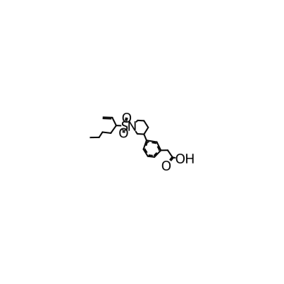 C=CC(CCCC)S(=O)(=O)N1CCCC(c2cccc(CC(=O)O)c2)C1